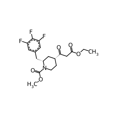 CCOC(=O)CC(=O)[C@@H]1CCN(C(=O)OC)[C@H](Cc2cc(F)c(F)c(F)c2)C1